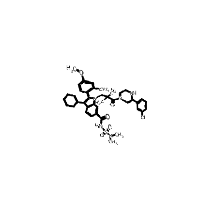 COc1ccc(-c2c(C3CCCCC3)c3ccc(C(=O)NS(=O)(=O)N(C)C)cc3n2CC(C)(C)C(=O)N2CCNC(c3cccc(Cl)c3)C2)c(C)c1